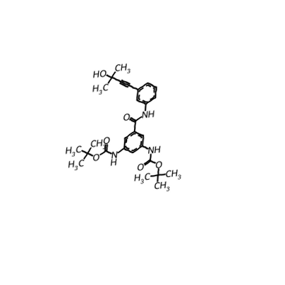 CC(C)(O)C#Cc1cccc(NC(=O)c2cc(NC(=O)OC(C)(C)C)cc(NC(=O)OC(C)(C)C)c2)c1